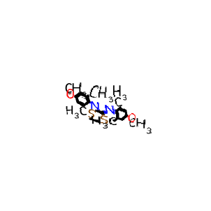 COc1cc(C)c(N=C2SCCSC2=Nc2c(C)cc(OC)cc2C)c(C)c1